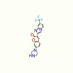 O=c1oc2cc(N3CCNCC3)ccc2cc1-c1cn2ccc(C(F)(F)F)cc2n1